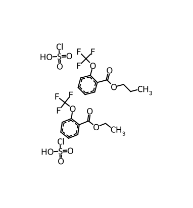 CCCOC(=O)c1ccccc1OC(F)(F)F.CCOC(=O)c1ccccc1OC(F)(F)F.O=S(=O)(O)Cl.O=S(=O)(O)Cl